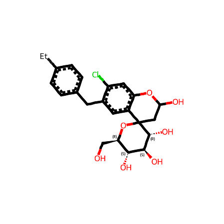 CCc1ccc(Cc2cc3c(cc2Cl)OC(O)CC32O[C@H](CO)[C@@H](O)[C@H](O)[C@H]2O)cc1